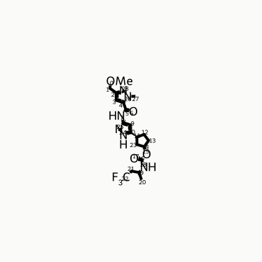 COCc1cc(C(=O)Nc2cc([C@H]3CCC(OC(=O)NC(C)CC(F)(F)F)C3)[nH]n2)n(C)n1